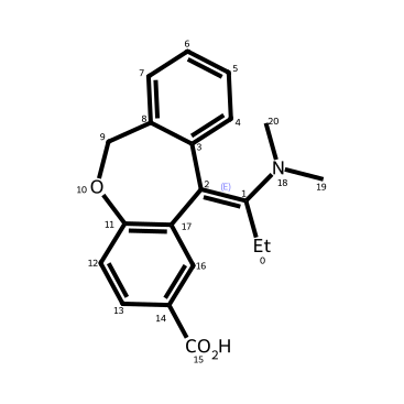 CC/C(=C1/c2ccccc2COc2ccc(C(=O)O)cc21)N(C)C